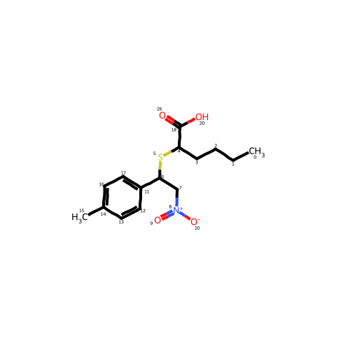 CCCCC(SC(C[N+](=O)[O-])c1ccc(C)cc1)C(=O)O